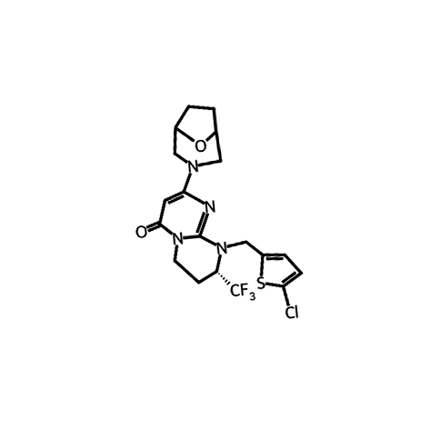 O=c1cc(N2CC3CCC(C2)O3)nc2n1CC[C@@H](C(F)(F)F)N2Cc1ccc(Cl)s1